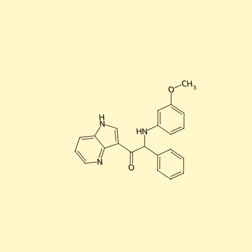 COc1cccc(NC(C(=O)c2c[nH]c3cccnc23)c2ccccc2)c1